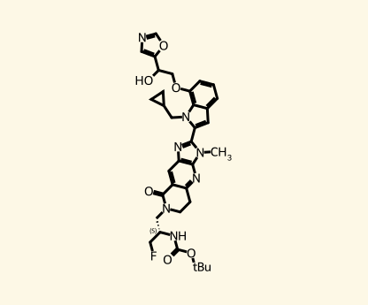 Cn1c(-c2cc3cccc(OCC(O)c4cnco4)c3n2CC2CC2)nc2cc3c(nc21)CCN(C[C@@H](CF)NC(=O)OC(C)(C)C)C3=O